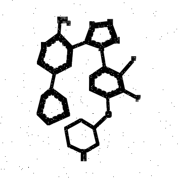 Nc1ncc(-c2ccccc2)cc1-c1nnnn1-c1ccc(OC2CCCNC2)c(F)c1F